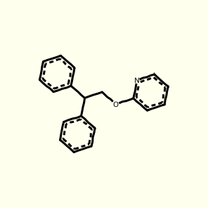 [c]1cccc(OCC(c2ccccc2)c2ccccc2)n1